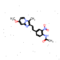 COc1ccn2c(C)c(/C=C/c3ccc(NC(C)=O)c([N+](=O)[O-])c3)nc2c1